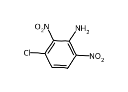 Nc1c([N+](=O)[O-])ccc(Cl)c1[N+](=O)[O-]